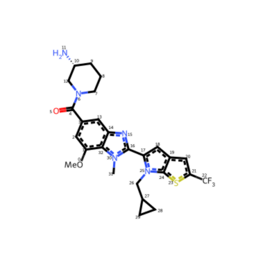 COc1cc(C(=O)N2CCC[C@@H](N)C2)cc2nc(-c3cc4cc(C(F)(F)F)sc4n3CC3CC3)n(C)c12